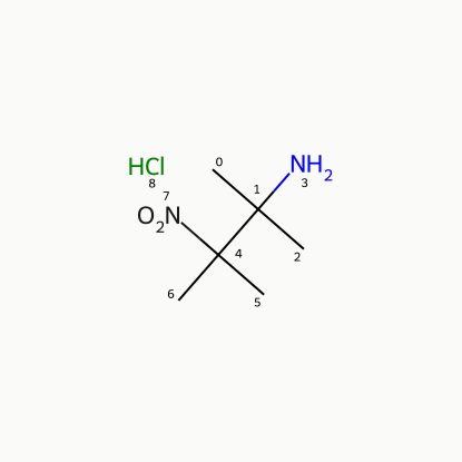 CC(C)(N)C(C)(C)[N+](=O)[O-].Cl